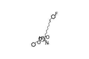 CN(C)C[C@@H](CC(=O)OCc1ccccc1)NC(=O)CCCCCCCC=Cc1ccc(F)cc1